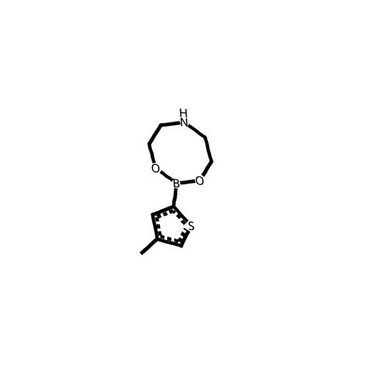 Cc1csc(B2OCCNCCO2)c1